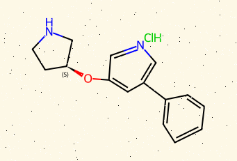 Cl.c1ccc(-c2cncc(O[C@H]3CCNC3)c2)cc1